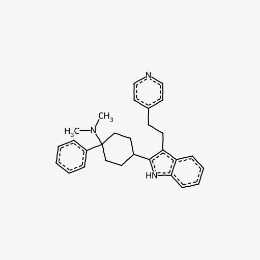 CN(C)C1(c2ccccc2)CCC(c2[nH]c3ccccc3c2CCc2ccncc2)CC1